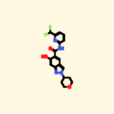 O=C(Nc1cccc(C(F)F)n1)c1cc2cn(C3CCOCC3)nc2cc1O